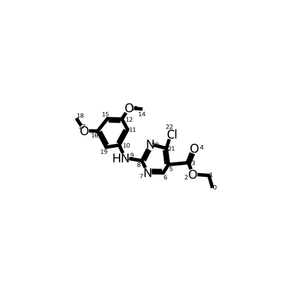 CCOC(=O)c1cnc(Nc2cc(OC)cc(OC)c2)nc1Cl